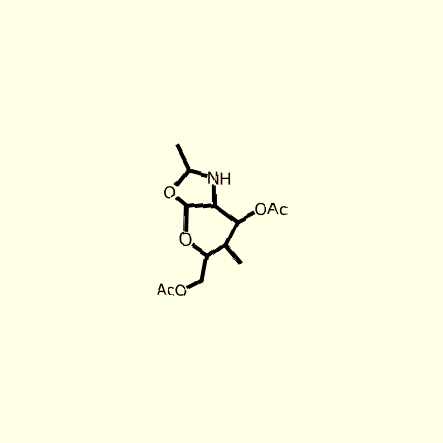 CC(=O)OCC1OC2OC(C)NC2C(OC(C)=O)C1C